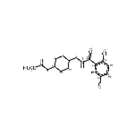 O=C(O)NCC1CCC(CNC(=O)c2cc(Cl)ncc2Cl)CC1